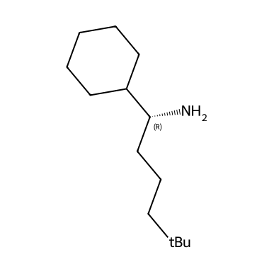 CC(C)(C)CCC[C@@H](N)C1CCCCC1